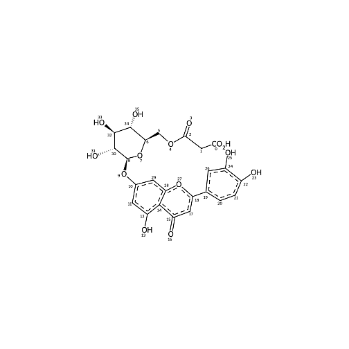 O=C(O)CC(=O)OC[C@H]1O[C@@H](Oc2cc(O)c3c(=O)cc(-c4ccc(O)c(O)c4)oc3c2)[C@H](O)[C@@H](O)[C@@H]1O